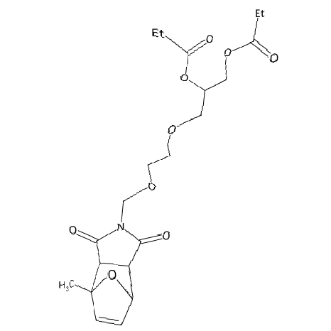 CCC(=O)OCC(COCCOCN1C(=O)C2C3C=CC(C)(O3)C2C1=O)OC(=O)CC